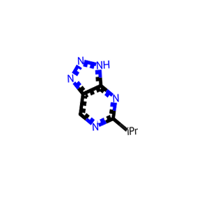 CC(C)c1ncc2nn[nH]c2n1